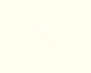 O=C(N[C@H](O)Cc1ccccc1)O[C@H]1CO[C@H]2OCC[C@H]21